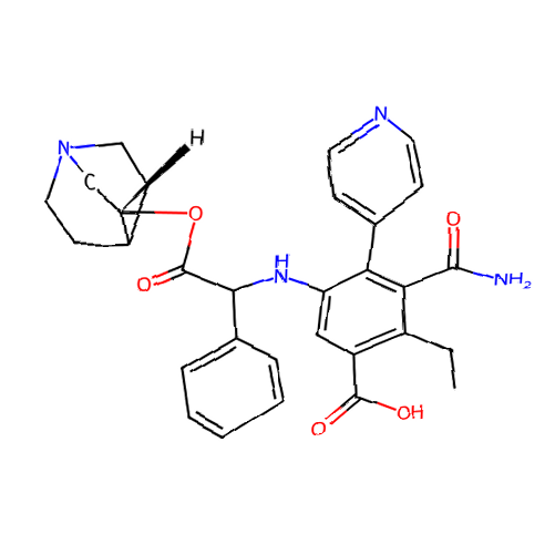 CCc1c(C(=O)O)cc(NC(C(=O)O[C@H]2CN3CCC2CC3)c2ccccc2)c(-c2ccncc2)c1C(N)=O